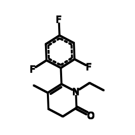 CCN1C(=O)CCC(C)=C1c1c(F)cc(F)cc1F